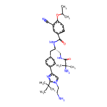 CC(C)Oc1ccc(C(=O)N[C@H](CNC(=O)C(C)(C)N)Cc2ccc(-c3cn(CCN)c(C(C)(C)C)n3)cc2)cc1C#N